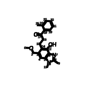 COCc1cc2c(nc(C)n2C)c(O)c1CCC(=O)c1ccccc1C